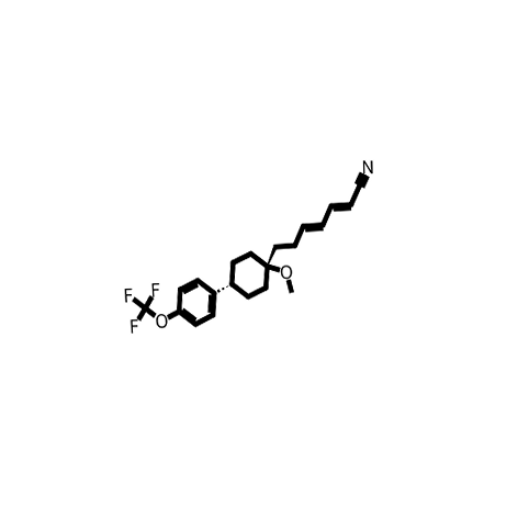 CO[C@]1(CCC=CC=CC#N)CC[C@H](c2ccc(OC(F)(F)F)cc2)CC1